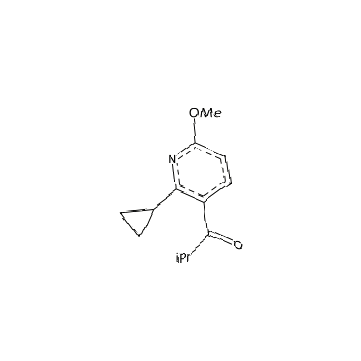 COc1ccc(C(=O)C(C)C)c(C2CC2)n1